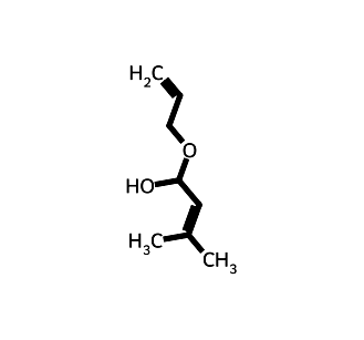 C=CCOC(O)C=C(C)C